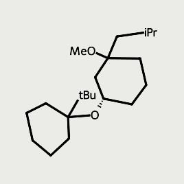 COC1(CC(C)C)CCC[C@H](OC2(C(C)(C)C)CCCCC2)C1